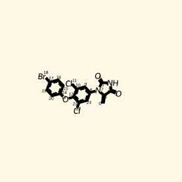 C=C1C(=O)NC(=O)N1c1cc(Cl)c(Oc2ccc(Br)cc2)c(Cl)c1